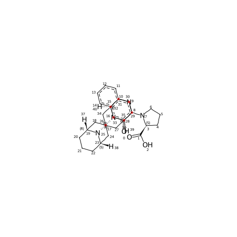 O=C(O)[C@@H]1CCCN1c1nc2ccccc2n([C@H]2C[C@H]3CCC[C@@H](C2)N3[C@H]2C[C@@H]3CCC[C@@H](C3)C2)c1=O